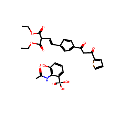 CC(=O)Nc1c(O)cccc1[As](=O)(O)O.CCOC(=O)C(C=Cc1ccc(C(=O)CC(=O)c2cccs2)cc1)C(=O)OCC